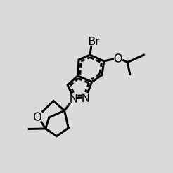 CC(C)Oc1cc2nn(C34CCC(C)(C3)OC4)cc2cc1Br